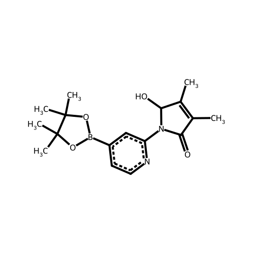 CC1=C(C)C(O)N(c2cc(B3OC(C)(C)C(C)(C)O3)ccn2)C1=O